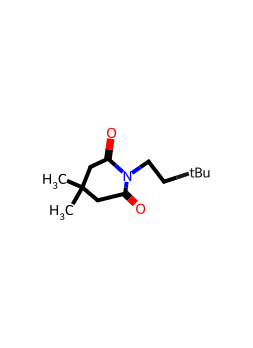 CC(C)(C)CCN1C(=O)CC(C)(C)CC1=O